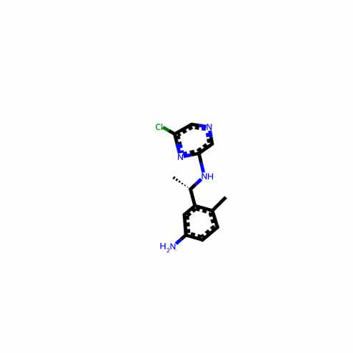 Cc1ccc(N)cc1[C@H](C)Nc1cncc(Cl)n1